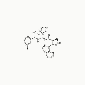 OC[C@]12N=C[N+]=C1N=C(c1n[nH]cc1-c1nccc3ccccc13)N=C2NCc1cccc(I)c1